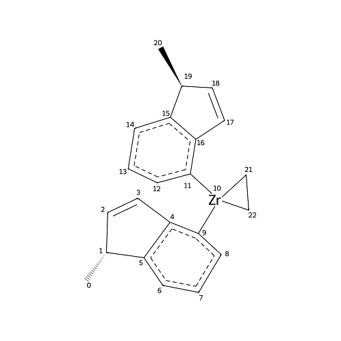 C[C@@H]1C=Cc2c1ccc[c]2[Zr]1([c]2cccc3c2C=C[C@@H]3C)[CH2][CH2]1